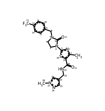 Cc1nc(N2CCN(Cc3ccc(C(F)(F)F)cc3)C2=O)sc1C(=O)NCc1cnn(C)c1